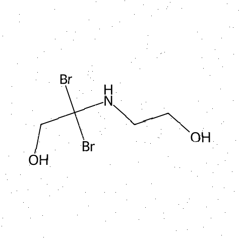 OCCNC(Br)(Br)CO